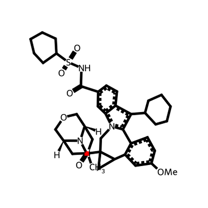 COc1ccc2c(c1)C1CC1(C(=O)N1[C@@H]3COC[C@H]1CN(C)C3)Cn1c-2c(C2CCCCC2)c2ccc(C(=O)NS(=O)(=O)C3CCCCC3)cc21